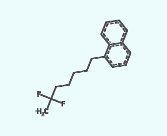 [CH2]C(F)(F)CCCCCc1cccc2ccccc12